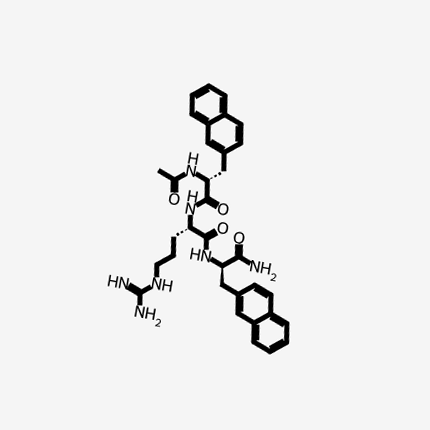 CC(=O)N[C@H](Cc1ccc2ccccc2c1)C(=O)N[C@@H](CCCNC(=N)N)C(=O)N[C@H](Cc1ccc2ccccc2c1)C(N)=O